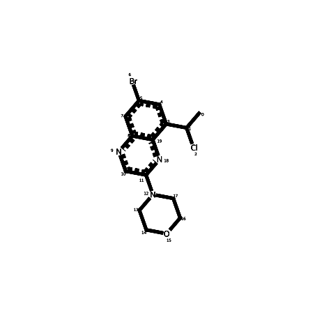 CC(Cl)c1cc(Br)cc2ncc(N3CCOCC3)nc12